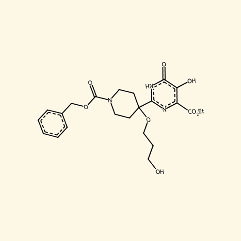 CCOC(=O)c1nc(C2(OCCCO)CCN(C(=O)OCc3ccccc3)CC2)[nH]c(=O)c1O